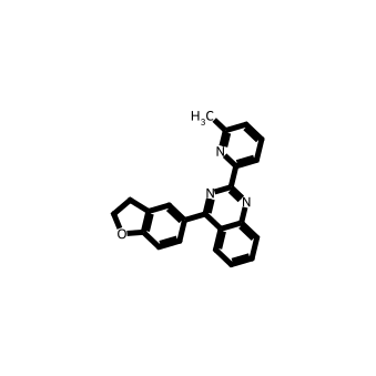 Cc1cccc(-c2nc(-c3ccc4c(c3)CCO4)c3ccccc3n2)n1